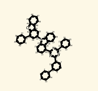 c1ccc(-c2cccc(-c3nc(-c4ccccc4)nc(-c4cccc5c4c4ccccc4n5-c4cc(-c5ccccc5)c5oc6ccccc6c5c4)n3)c2)cc1